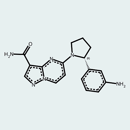 NC(=O)c1cnn2ccc(N3CCC[C@@H]3c3cccc(N)c3)nc12